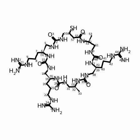 CNC(=O)NC[C@H](CCCNC(=N)N)NC(=O)NC[C@H](CCCNC(=N)N)NC(=O)NC[C@H](C)NC(=O)NC[C@H](CCCNC(=N)N)NC(=O)NC[C@H](C)NC(=O)CCS